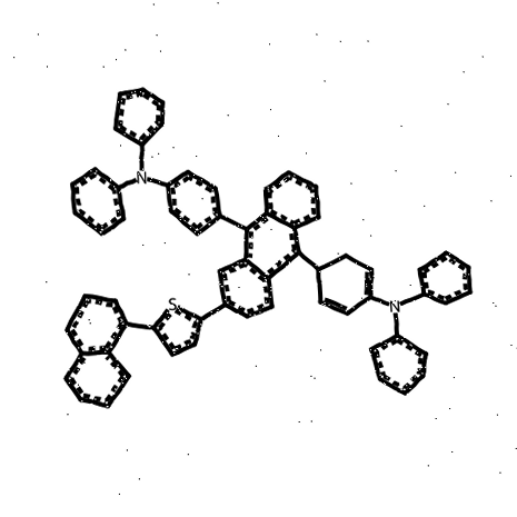 C1=CC(c2c3ccccc3c(-c3ccc(N(c4ccccc4)c4ccccc4)cc3)c3cc(-c4ccc(-c5cccc6ccccc56)s4)ccc23)CC=C1N(c1ccccc1)c1ccccc1